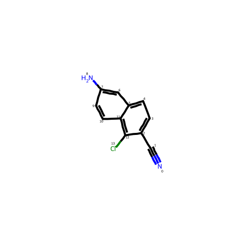 N#Cc1ccc2cc(N)ccc2c1Cl